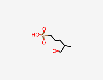 CC(C=O)CCCS(=O)(=O)O